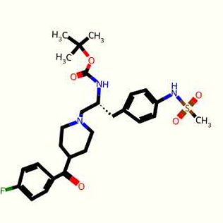 CC(C)(C)OC(=O)N[C@H](Cc1ccc(NS(C)(=O)=O)cc1)CN1CCC(C(=O)c2ccc(F)cc2)CC1